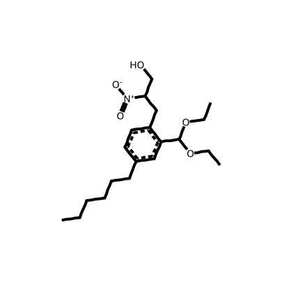 CCCCCCc1ccc(CC(CO)[N+](=O)[O-])c(C(OCC)OCC)c1